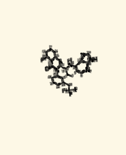 CC[C@H](Nc1ccnc2[nH]cnc12)c1nc2cccc(F)c2c(=O)n1-c1cccc(CC(F)(F)F)c1